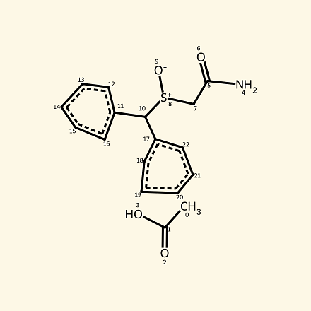 CC(=O)O.NC(=O)C[S+]([O-])C(c1ccccc1)c1ccccc1